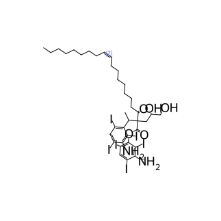 CCCCCCCC/C=C\CCCCCCCC(=O)C(CC(O)CO)(C(=O)Oc1c(I)cc(I)c(N)c1I)C(C)c1c(I)cc(I)c(N)c1I